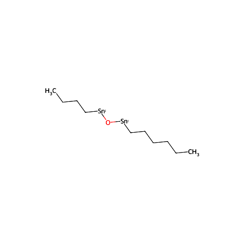 CCCCC[CH2][Sn][O][Sn][CH2]CCC